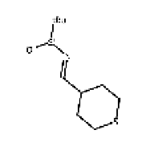 CC(C)(C)[S+]([O-])N=CC1CCSCC1